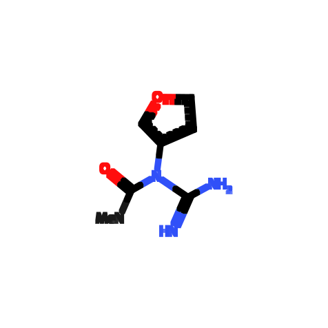 CNC(=O)N(C(=N)N)c1ccoc1